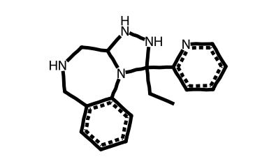 CCC1(c2ccccn2)NNC2CNCc3ccccc3N21